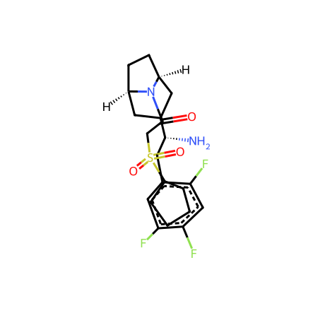 N[C@H](Cc1cc(F)c(F)cc1F)C1C[C@H]2CC[C@@H](C1)N2C(=O)CS(=O)(=O)C1CCCC1